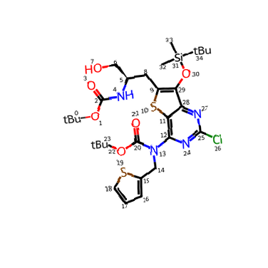 CC(C)(C)OC(=O)N[C@@H](CO)Cc1sc2c(N(Cc3cccs3)C(=O)OC(C)(C)C)nc(Cl)nc2c1O[Si](C)(C)C(C)(C)C